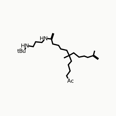 C=C(C)CCCCC(C)(CCCCC(=C)NCCCNC(C)(C)C)CCCCC(C)=O